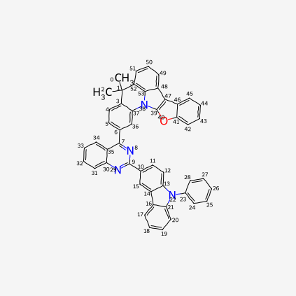 CC1(C)c2ccc(-c3nc(-c4ccc5c(c4)c4ccccc4n5-c4ccccc4)nc4ccccc34)cc2-n2c3oc4ccccc4c3c3cccc1c32